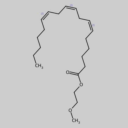 CCCCC/C=C\C/C=C\C/C=C\CCCCC(=O)OCCOC